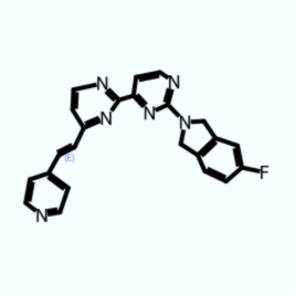 Fc1ccc2c(c1)CN(c1nccc(-c3nccc(/C=C/c4ccncc4)n3)n1)C2